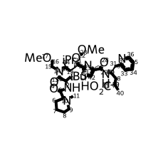 CCC(C)C(NC(=O)C1CCCCN1C)C(=O)N(CCOC)[C@H](C[C@@H](OCOC)c1nc(C(=O)N[C@@H](Cc2ccccn2)C[C@H](C)C(=O)O)cs1)C(C)C